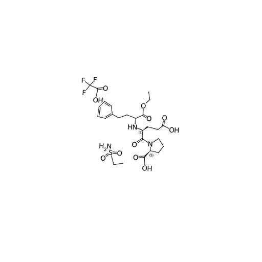 CCOC(=O)C(CCc1ccccc1)N[C@@H](CCC(=O)O)C(=O)N1CCC[C@H]1C(=O)O.CCS(N)(=O)=O.O=C(O)C(F)(F)F